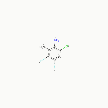 Nc1c(Cl)cc(F)c(F)c1[N+](=O)[O-]